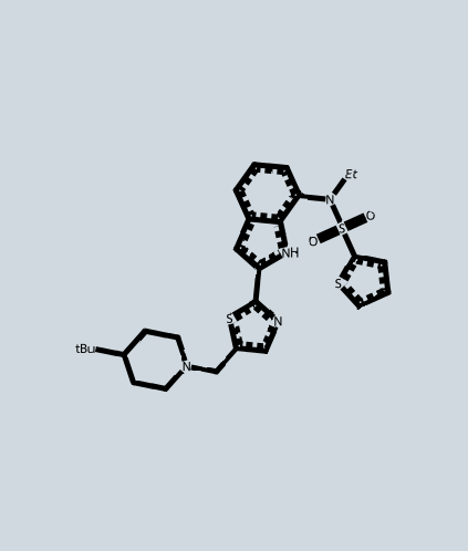 CCN(c1cccc2cc(-c3ncc(CN4CCC(C(C)(C)C)CC4)s3)[nH]c12)S(=O)(=O)c1cccs1